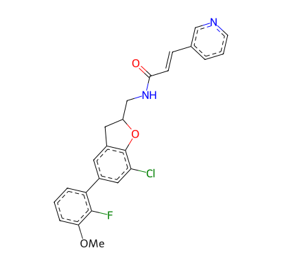 COc1cccc(-c2cc(Cl)c3c(c2)CC(CNC(=O)C=Cc2cccnc2)O3)c1F